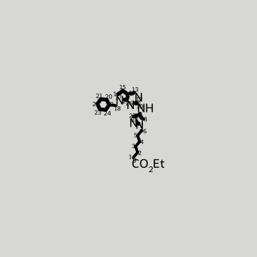 CCOC(=O)CCCCCCn1cc(Nc2ncc3ccn(Cc4ccccc4)c3n2)cn1